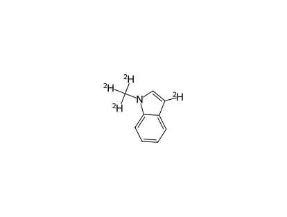 [2H]c1cn(C([2H])([2H])[2H])c2ccccc12